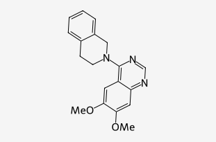 COc1cc2ncnc(N3CCc4ccccc4C3)c2cc1OC